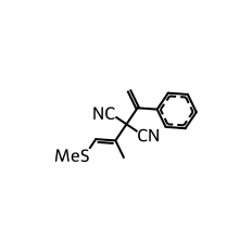 C=C(c1ccccc1)C(C#N)(C#N)/C(C)=C/SC